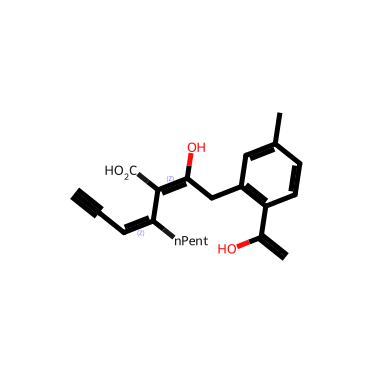 C#C/C=C(CCCCC)\C(C(=O)O)=C(\O)Cc1cc(C)ccc1C(=C)O